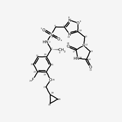 C[C@@H](NS(=O)(=O)Cc1noc(CN2CC(=O)NC2=O)n1)c1ccc(F)c(OCC2CC2)c1